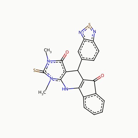 Cn1c2c(c(=O)n(C)c1=S)C(c1ccc3nsnc3c1)C1=C(N2)c2ccccc2C1=O